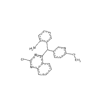 COc1ccc(C(c2ccccc2N)c2nc(Cl)nc3ccccc23)cn1